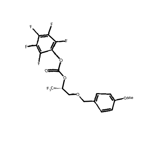 COc1ccc(COC[C@@H](OC(=O)Oc2c(F)c(F)c(F)c(F)c2F)C(F)(F)F)cc1